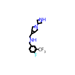 Fc1ccc(CNCC2C3CN(C4CNC4)CC23)cc1C(F)(F)F